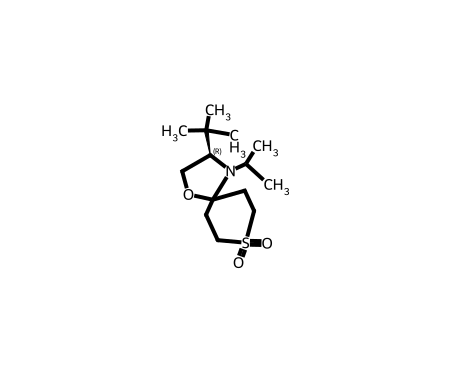 CC(C)N1[C@H](C(C)(C)C)COC12CCS(=O)(=O)CC2